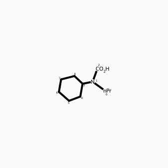 CCCN(C(=O)O)C1CCCCC1